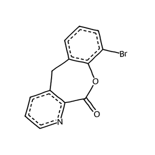 O=C1Oc2c(Br)cccc2Cc2cccnc21